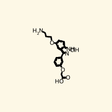 Cl.NCCCOc1ccc2[nH]nc(-c3cccc(OCC(=O)O)c3)c2c1